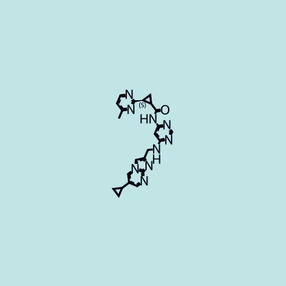 Cc1ccnc([C@H]2CC2C(=O)Nc2cc(NCc3cn4cc(C5CC5)cnc4n3)ncn2)n1